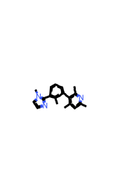 Cc1cc(C)c(-c2cccc(-c3nccn3C)c2C)c(C)n1